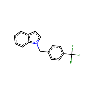 FC(F)(F)c1ccc(Cn2ccc3ccccc32)cc1